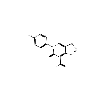 NC(=O)c1c2c(cn(-c3ccc(F)cc3)c1=O)CCO2